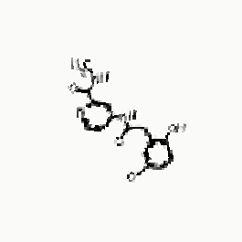 CNC(=O)c1cc(NC(=O)Cc2cc(Cl)ccc2O)ccn1